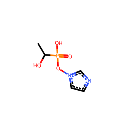 C[C](O)P(=O)(O)On1ccnc1